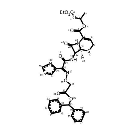 CCOC(=O)OC(C)OC(=O)C1=CCS[C@H]2C(NC(=O)C(=NOCC(=O)OC(c3ccccc3)c3ccccc3)c3cscn3)C(=O)N12